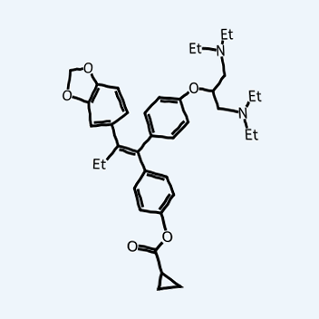 CCC(=C(c1ccc(OC(=O)C2CC2)cc1)c1ccc(OC(CN(CC)CC)CN(CC)CC)cc1)c1ccc2c(c1)OCO2